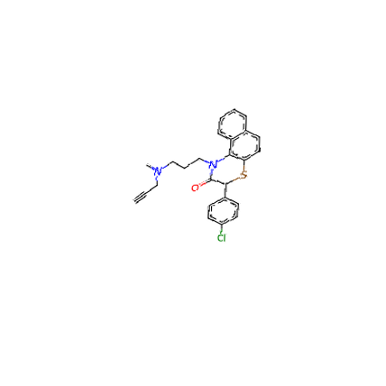 C#CCN(C)CCCN1C(=O)C(c2ccc(Cl)cc2)Sc2ccc3ccccc3c21